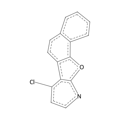 Clc1ccnc2oc3c4ccccc4ccc3c12